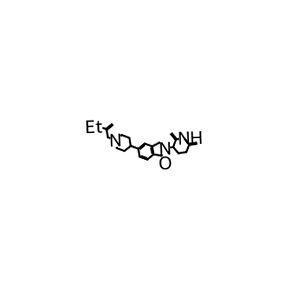 C=C(CC)CN1CCC(c2ccc3c(c2)CN(C2CCC(=C)NC2=C)C3=O)CC1